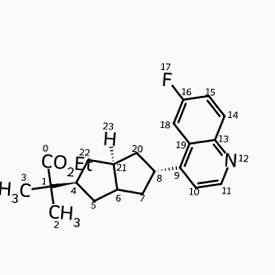 CCOC(=O)C(C)(C)[C@@H]1CC2C[C@@H](c3ccnc4ccc(F)cc34)C[C@@H]2C1